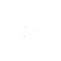 CCOC(=O)c1cnc(-c2cc3c(cc2Cl)N(c2ccccc2)C[C@@H](C2CCCCC2)N(C)S3(=O)=O)o1